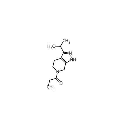 CCC(=O)N1CCc2c(C(C)C)n[nH]c2C1